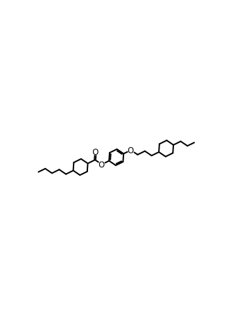 CCCCCC1CCC(C(=O)Oc2ccc(OCCCC3CCC(CCC)CC3)cc2)CC1